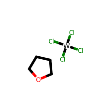 C1CCOC1.[Cl][W]([Cl])([Cl])[Cl]